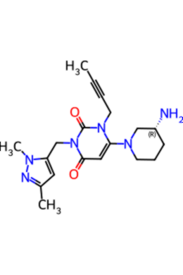 CC#CCn1c(N2CCC[C@@H](N)C2)cc(=O)n(Cc2cc(C)nn2C)c1=O